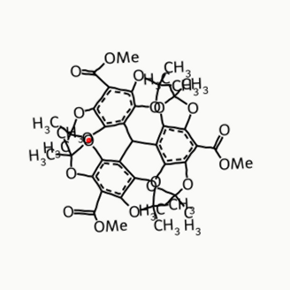 COC(=O)c1c2c(c(C(c3c4c(c(C(=O)OC)c5c3OC(C)(C)O5)OC(C)(C)O4)c3c4c(c(C(=O)OC)c5c3OC(C)(C)O5)OC(C)(C)O4)c3c1OC(C)(C)O3)OC(C)(C)O2